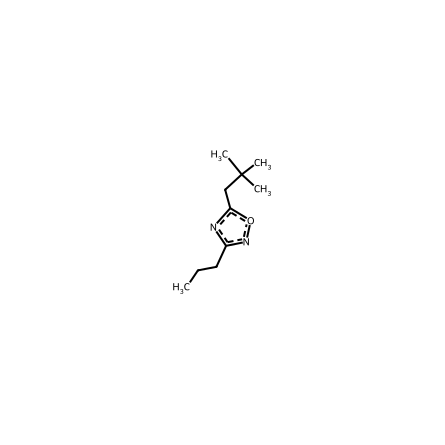 CCCc1noc(CC(C)(C)C)n1